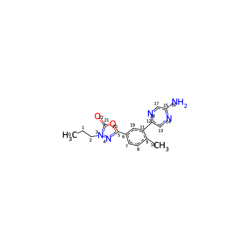 CCCn1nc(-c2ccc(C)c(-c3cnc(N)cn3)c2)oc1=O